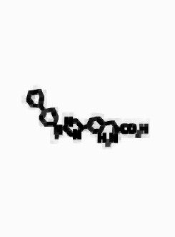 CN(c1ccc(-c2ccccc2)cc1)c1cnc(-c2ccc(C[C@H](N)C(=O)O)cc2)cn1